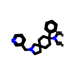 CN(C)C1(c2ccccc2)CCC2(CCN(Cc3cccnc3)C2)CC1